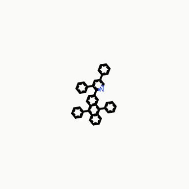 c1ccc(-c2cnc(-c3ccc4c(-c5ccccc5)c5ccccc5c(-c5ccccc5)c4c3)c(-c3ccccc3)c2)cc1